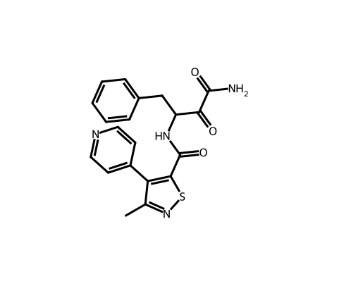 Cc1nsc(C(=O)NC(Cc2ccccc2)C(=O)C(N)=O)c1-c1ccncc1